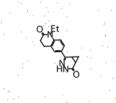 CCN1C(=O)CCc2cc(C3=NNC(=O)C4CC34)ccc21